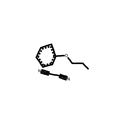 CCCOc1ccccc1.N#CC#N